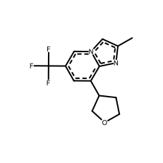 Cc1cn2cc(C(F)(F)F)cc(C3CCOC3)c2n1